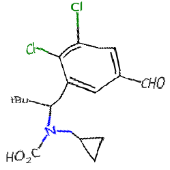 CC(C)(C)C(c1cc(C=O)cc(Cl)c1Cl)N(C(=O)O)C1CC1